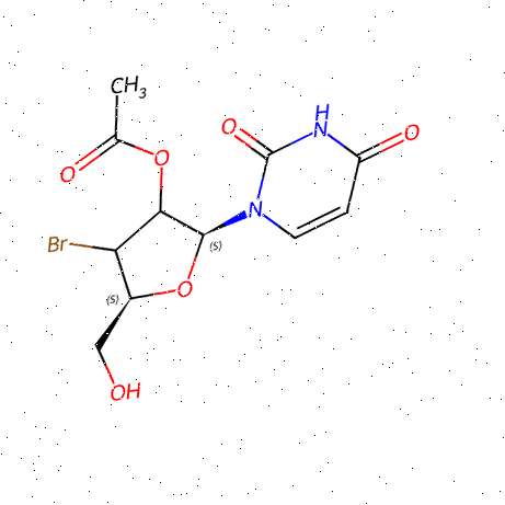 CC(=O)OC1C(Br)[C@H](CO)O[C@@H]1n1ccc(=O)[nH]c1=O